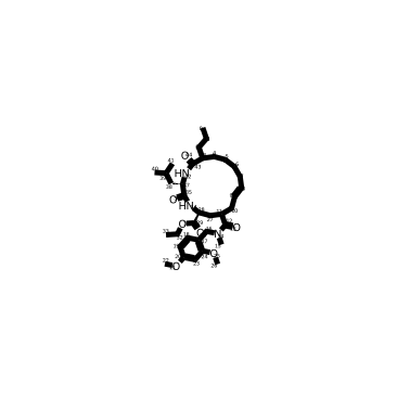 CCCC1CCCC/C=C/CC(C(=O)N(C)Cc2ccc(OC)cc2OC)C[C@@H](C(=O)OCC)NC(=O)[C@H](CC(C)C)NC1=O